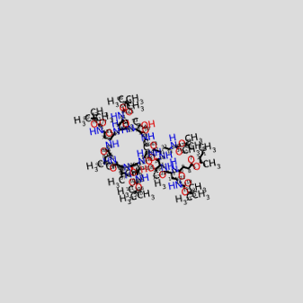 CCCC(C)OC(=O)CCC(=O)N[C@@H](CCNC(=O)OC(C)(C)C)C(=O)N[C@H](C(=O)N[C@@H](CCNC(=O)OC(C)(C)C)C(=O)N[C@H]1CCNC(=O)[C@H](C(C)O)NC(=O)[C@H](CCNC(=O)OC(C)(C)C)NC(=O)[C@H](CCNC(=O)OC(C)(C)C)NC(=O)[C@H](CC(C)C)NC(=O)[C@@H](CC(C)C)NC(=O)[C@H](CCNC(=O)OC(C)(C)C)NC1=O)C(C)O